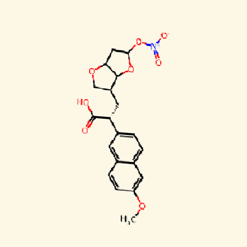 COc1ccc2cc([C@@H](CC3COC4CC(O[N+](=O)[O-])OC34)C(=O)O)ccc2c1